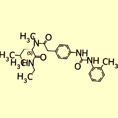 CCNC(=O)[C@H](CC(C)C)N(C)C(=O)Cc1ccc(NC(=O)Nc2ccccc2C)cc1